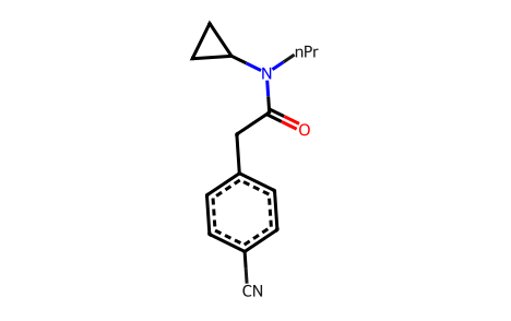 CCCN(C(=O)Cc1ccc(C#N)cc1)C1CC1